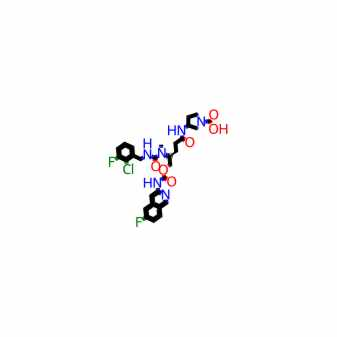 CN(C(=O)NCc1cccc(F)c1Cl)[C@@H](CCC(=O)NC1CCN(C(=O)O)C1)COC(=O)Nc1cc2cc(F)ccc2cn1